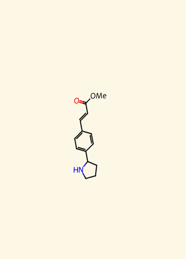 COC(=O)C=Cc1ccc(C2CCCN2)cc1